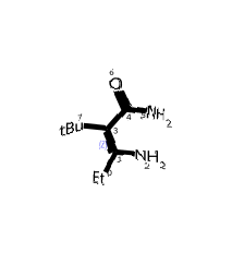 CC/C(N)=C(/C(N)=O)C(C)(C)C